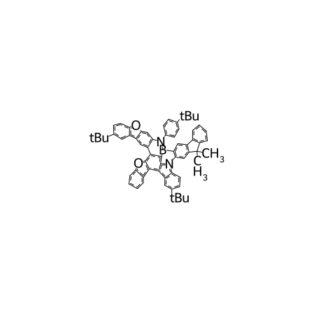 CC(C)(C)c1ccc(N2B3c4cc5c(cc4-n4c6ccc(C(C)(C)C)cc6c6c7c(oc8ccccc87)c(c3c64)-c3cc4c(cc32)oc2ccc(C(C)(C)C)cc24)C(C)(C)c2ccccc2-5)cc1